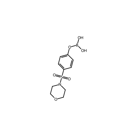 O=S(=O)(c1ccc(OB(O)O)cc1)N1CCOCC1